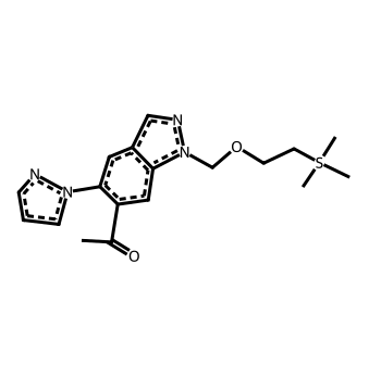 CC(=O)c1cc2c(cnn2COCCS(C)(C)C)cc1-n1cccn1